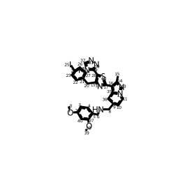 COc1ccc(CNCc2ccn3nc(C)c(-c4nc(Cc5ccc(I)cc5)c(-c5nnc[nH]5)s4)c3c2)c(OC)c1